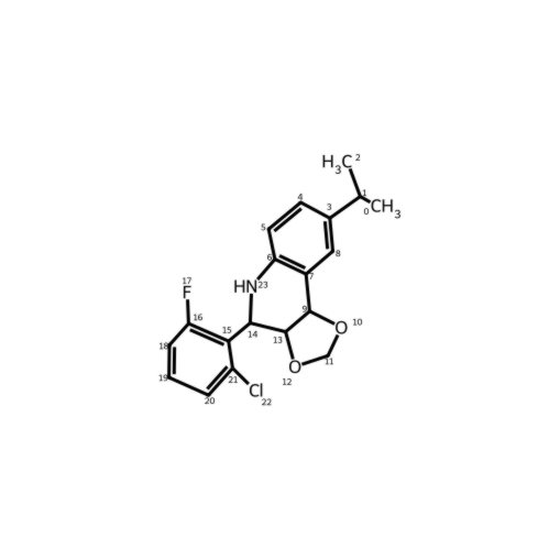 CC(C)c1ccc2c(c1)C1OCOC1C(c1c(F)cccc1Cl)N2